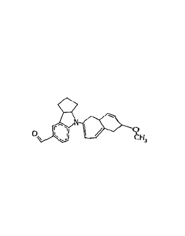 COC1C=CC2CC(N3c4ccc(C=O)cc4C4CCCC43)=CC=C2C1